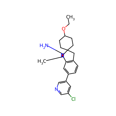 CCOC1CCC2(CC1)Cc1ccc(-c3cncc(Cl)c3)cc1C21N=C(C)C(N)=N1